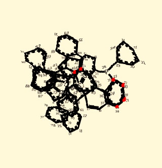 O=S(=O)(C1(P(c2ccccc2)c2ccccc2)C=Cc2ccccc2C1c1c(P(c2ccccc2)c2ccccc2)ccc2ccccc12)C1(P(c2ccccc2)c2ccccc2)C=Cc2ccccc2C1c1c(P(c2ccccc2)c2ccccc2)ccc2ccccc12